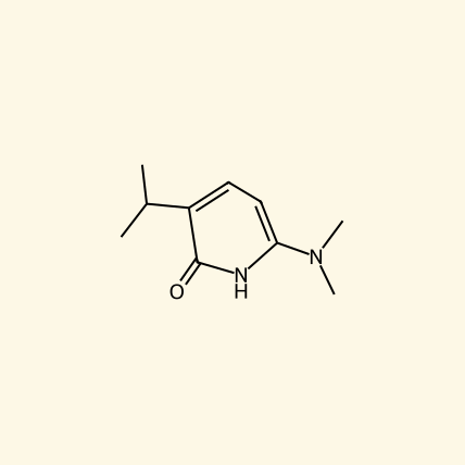 CC(C)c1ccc(N(C)C)[nH]c1=O